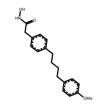 COc1ccc(CCCCc2ccc(CC(=O)NO)cc2)cc1